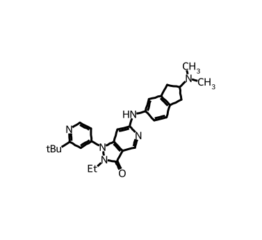 CCn1c(=O)c2cnc(Nc3ccc4c(c3)CC(N(C)C)C4)cc2n1-c1ccnc(C(C)(C)C)c1